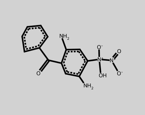 Nc1cc([N+]([O-])(O)[N+](=O)[O-])c(N)cc1C(=O)c1ccccc1